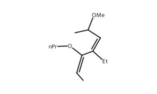 C/C=C(OCCC)\C(=C/C(C)OC)CC